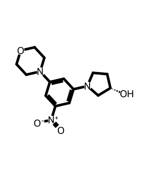 O=[N+]([O-])c1cc(N2CCOCC2)cc(N2CC[C@H](O)C2)c1